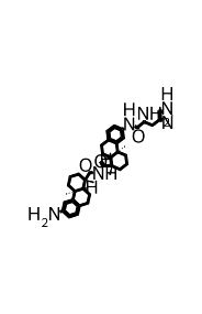 C[C@]1(C(=O)NC(=O)[C@@]2(C)CCC[C@]3(C)c4cc(NC(=O)C(N)Cc5c[nH]cn5)ccc4CC[C@@H]23)CCC[C@]2(C)c3cc(N)ccc3CC[C@@H]12